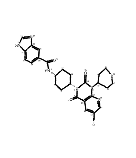 O=C(N[C@H]1CC[C@@H](n2c(=O)c3cc(F)cnc3n(C3CCSCC3)c2=O)CC1)c1ccc2[nH]cnc2c1